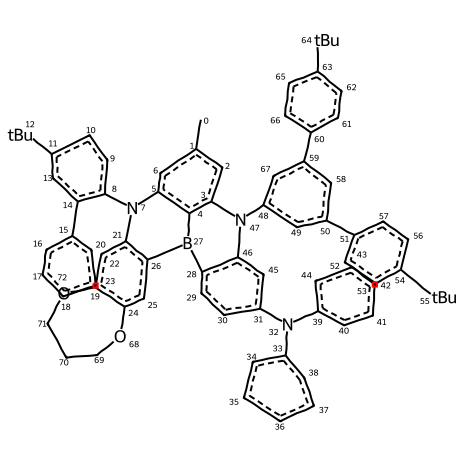 Cc1cc2c3c(c1)N(c1ccc(C(C)(C)C)cc1-c1ccccc1)c1cc4c(cc1B3c1ccc(N(c3ccccc3)c3ccccc3)cc1N2c1cc(-c2ccc(C(C)(C)C)cc2)cc(-c2ccc(C(C)(C)C)cc2)c1)OCCCO4